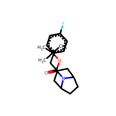 CC(C)(C)OC(=O)N1C2CCC1CC(Cc1ccc(F)cc1)C2